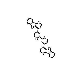 c1ccc2c(c1)oc1c(-c3ccnc(-c4cc(-c5ccnc6c5oc5ccccc56)ccn4)c3)ccnc12